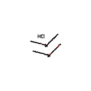 CCCCCCCCCCCCCCCCCCN(CC)CCCCCCCCCCCCCCCCCC.CCCCCCCCCCCCCCCCCCN(CC)CCCCCCCCCCCCCCCCCC.Cl.Cl